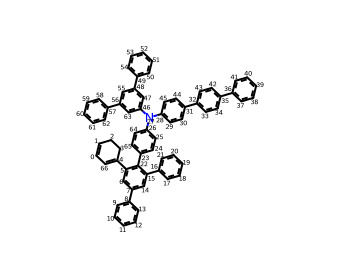 C1=CCCC(c2cc(-c3ccccc3)cc(-c3ccccc3)c2-c2ccc(N(c3ccc(-c4ccc(-c5ccccc5)cc4)cc3)c3cc(-c4ccccc4)cc(-c4ccccc4)c3)cc2)=C1